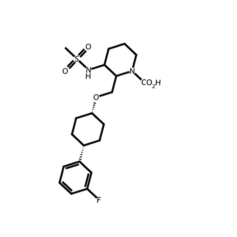 CS(=O)(=O)NC1CCCN(C(=O)O)C1CO[C@H]1CC[C@@H](c2cccc(F)c2)CC1